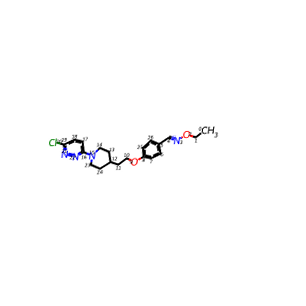 CCO/N=C/c1ccc(OCCC2CCN(c3ccc(Cl)nn3)CC2)cc1